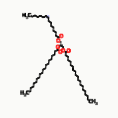 CCCCCC/C=C\CCCCCCCC(=O)OC[C@H](COC(=O)CCCCCCCCCCCCCCCCCCCC)OC(=O)CCCCCCCCCCCCCCCCCCC